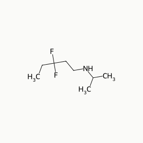 CCC(F)(F)CCNC(C)C